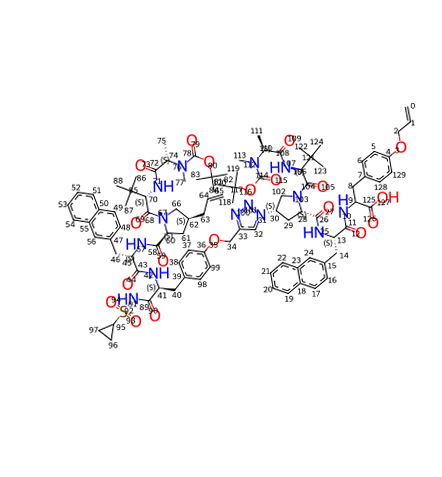 C=CCOc1ccc(CC(NC(=O)[C@H](Cc2ccc3ccccc3c2)NC(=O)[C@@H]2C[C@H](n3cc(COc4ccc(C[C@H](NC(=O)[C@H](Cc5ccc6ccccc6c5)NC(=O)[C@@H]5C[C@H](CC=C)CN5C(=O)[C@@H](NC(=O)[C@H](C)N(C)C(=O)OC(C)(C)C)C(C)(C)C)C(=O)NS(=O)(=O)C5CC5)cc4)nn3)CN2C(=O)[C@@H](NC(=O)[C@H](C)N(C)C(=O)OC(C)(C)C)C(C)(C)C)C(=O)O)cc1